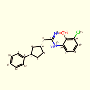 O/N=C(/C[C@@H]1CC[C@@H](c2ccccc2)C1)Nc1cccc(Cl)c1